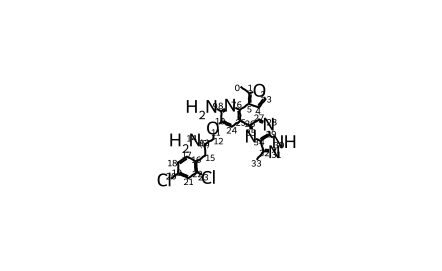 Cc1occc1-c1nc(N)c(OC[C@@H](N)Cc2ccc(Cl)cc2Cl)cc1-c1cnc2[nH]nc(C)c2n1